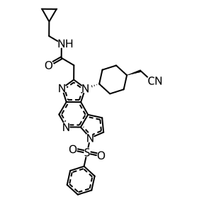 N#CC[C@H]1CC[C@H](n2c(CC(=O)NCC3CC3)nc3cnc4c(ccn4S(=O)(=O)c4ccccc4)c32)CC1